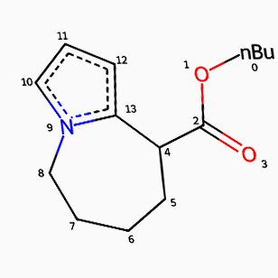 CCCCOC(=O)C1CCCCn2cccc21